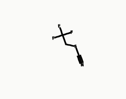 N#CSCC(F)(F)F